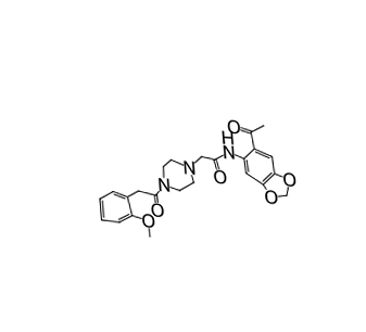 COc1ccccc1CC(=O)N1CCN(CC(=O)Nc2cc3c(cc2C(C)=O)OCO3)CC1